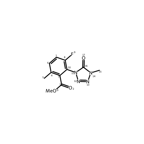 COC(=O)c1c(C)ccc(F)c1-n1nnn(C)c1=O